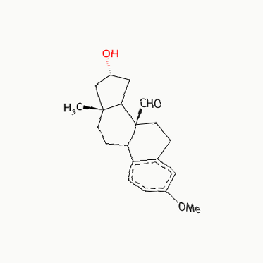 COc1ccc2c(c1)CC[C@]1(C=O)C2CC[C@]2(C)C[C@H](O)CC21